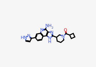 Nc1nc2cc(-c3cc[nH]n3)ccc2c2[nH]c(C3CCCN(C(=O)C4CCC4)C3)nc12